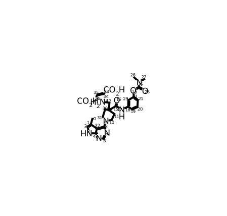 Cc1c[nH]c2ncnc(N3CCC(CN)(C(=O)Nc4cccc(OC(=O)N(C)C)c4)CC3)c12.O=C(O)C=CC(=O)O